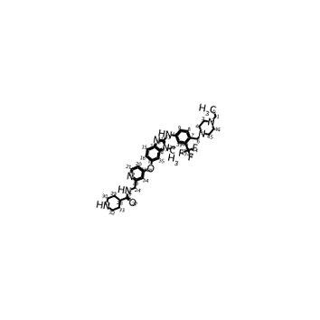 CCN1CCN(Cc2ccc(Nc3nc4ccc(Oc5ccnc(CNC(=O)C6CCNCC6)c5)cc4n3C)cc2C(F)(F)F)CC1